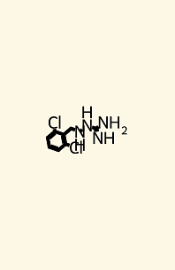 N=C(N)NNCc1c(Cl)cccc1Cl